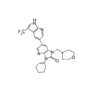 O=c1n(CC2CCOCC2)c2cc(-c3cnc4[nH]cc(C(F)(F)F)c4c3)cnc2n1C1=CCCCC1